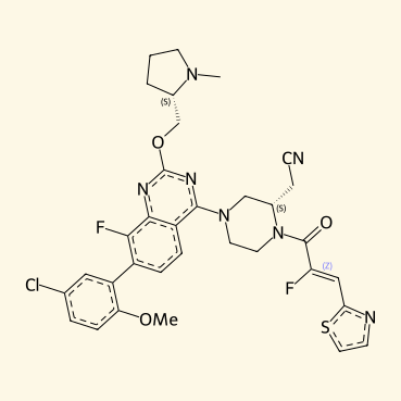 COc1ccc(Cl)cc1-c1ccc2c(N3CCN(C(=O)/C(F)=C/c4nccs4)[C@@H](CC#N)C3)nc(OC[C@@H]3CCCN3C)nc2c1F